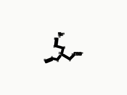 C=CCN(CC=C)CC(=O)[O-].[Na+]